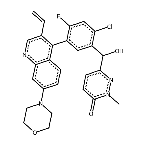 C=Cc1cnc2cc(N3CCOCC3)ccc2c1-c1cc(C(O)c2ccc(=O)n(C)n2)c(Cl)cc1F